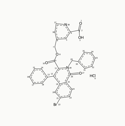 Cl.O=C(O)c1cc(COC(=O)c2c(-c3ccccc3)c3cc(Br)ccc3c(=O)n2Cc2ccccc2)ccn1